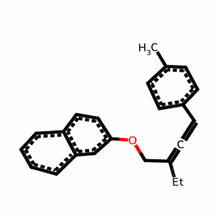 CCC(=C=Cc1ccc(C)cc1)COc1ccc2ccccc2c1